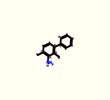 Cc1ccc(-c2ccccc2)c(C)c1N